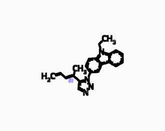 C=C/C=C(\C)c1cnnn1-c1ccc2c(c1)c1ccccc1n2CC